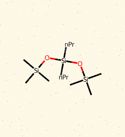 CCC[Si](CCC)(O[Si](C)(C)C)O[Si](C)(C)C